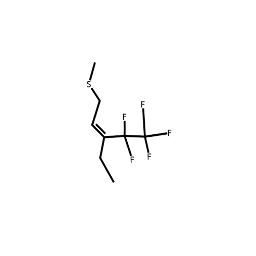 CCC(=CCSC)C(F)(F)C(F)(F)F